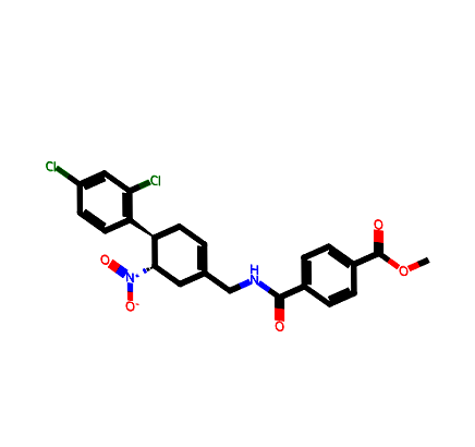 COC(=O)c1ccc(C(=O)NCC2=CC[C@H](c3ccc(Cl)cc3Cl)[C@@H]([N+](=O)[O-])C2)cc1